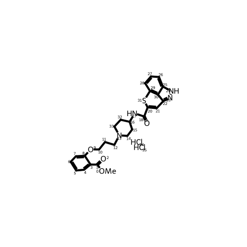 COC(=O)c1ccccc1OCCCN1CCC(NC(=O)C2=Cc3n[nH]c4cccc(c34)S2)CC1.Cl.Cl